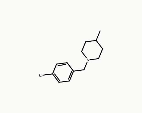 CC1CCN(Cc2ccc(Cl)cc2)CC1